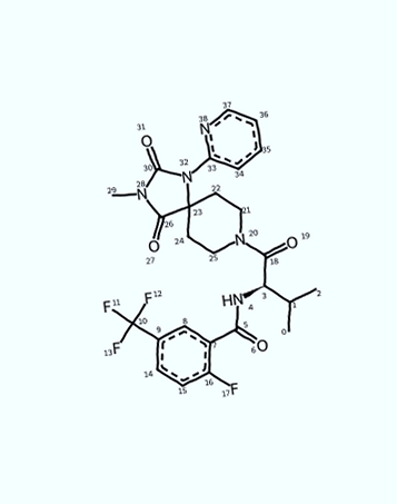 CC(C)[C@@H](NC(=O)c1cc(C(F)(F)F)ccc1F)C(=O)N1CCC2(CC1)C(=O)N(C)C(=O)N2c1ccccn1